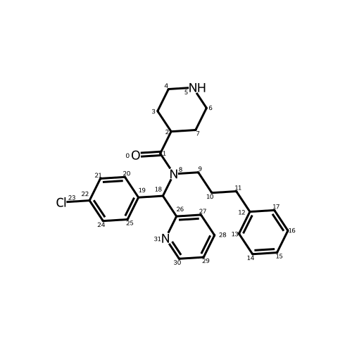 O=C(C1CCNCC1)N(CCCc1ccccc1)C(c1ccc(Cl)cc1)c1ccccn1